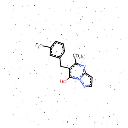 CCOC(=O)c1nc2ccnn2c(O)c1Cc1cccc(C(F)(F)F)c1